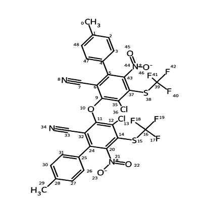 Cc1ccc(-c2c(C#N)c(Oc3c(Cl)c(SC(F)(F)F)c([N+](=O)[O-])c(-c4ccc(C)cc4)c3C#N)c(Cl)c(SC(F)(F)F)c2[N+](=O)[O-])cc1